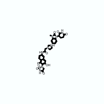 Cn1c(=O)n(C2CCC(=O)NC2=O)c2ccc([Si@@H]3CCN(CC(=O)Nc4ccc5c(F)c(N6CC(=O)NS6(=O)=O)c(O)cc5c4)C3)cc21